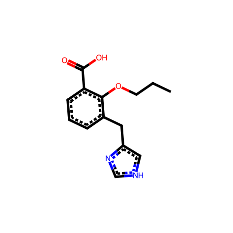 CCCOc1c(Cc2c[nH]cn2)cccc1C(=O)O